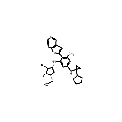 Cc1nc(NC2(C3CCCC3)CC2)nc(N[C@@H]2C[C@H](CO)[C@@H](O)[C@H]2O)c1-c1nc2cnccc2s1